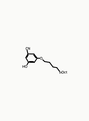 CCCCCCCCCCCCOc1cc(O)cc(C#N)c1